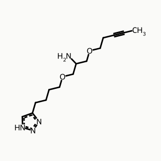 CC#CCCOCC(N)COCCCCc1c[nH]nn1